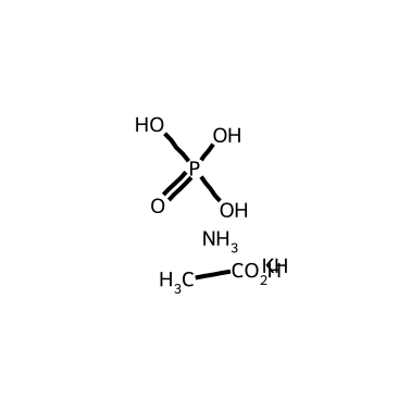 CC(=O)O.N.O=P(O)(O)O.[KH]